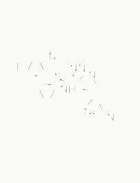 Fc1cc(CN2CCCC2)cc(-c2cccc3[nH]c(-c4n[nH]c5ncc(-c6cncc(CN7CCCCC7)c6)cc45)nc23)c1